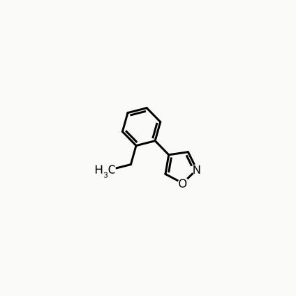 CCc1ccccc1-c1cnoc1